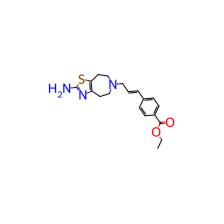 CCOC(=O)c1ccc(C=CCN2CCc3nc(N)sc3CC2)cc1